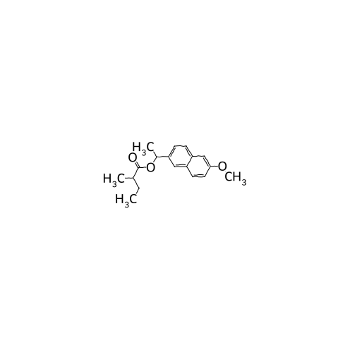 CCC(C)C(=O)OC(C)c1ccc2cc(OC)ccc2c1